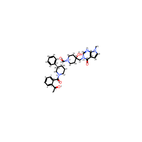 CC(=O)c1ccccc1C(=O)N1CC[C@@H](C(=O)N2CCC(O)(Cn3cnc4c(ccn4C)c3=O)CC2)[C@H](c2ccccc2)C1